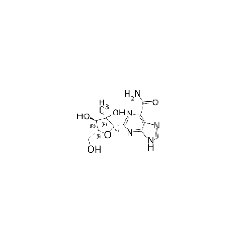 C[C@@]1(O)[C@H](O)[C@@H](CO)O[C@H]1c1nc(C(N)=O)c2nc[nH]c2n1